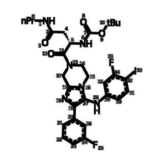 CCCNC(=O)C[C@H](NC(=O)OC(C)(C)C)C(=O)N1CCn2c(nc(-c3cccc(F)c3)c2Nc2ccc(I)c(F)c2)C1